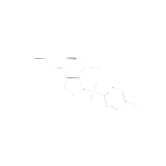 Cc1ccc(S(=O)(=O)n2ccc3c(CCC(=O)O)cnc(C#N)c32)cc1